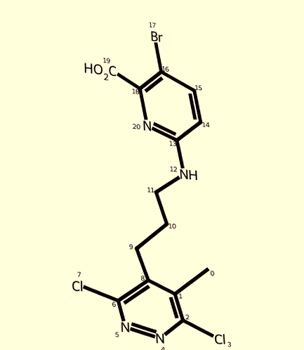 Cc1c(Cl)nnc(Cl)c1CCCNc1ccc(Br)c(C(=O)O)n1